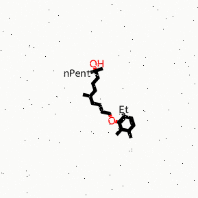 CCCCCC(C)(O)CCCC(C)CCCCOC1=C(CC)C=CC(C)C1C